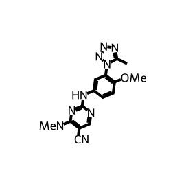 CNc1nc(Nc2ccc(OC)c(-n3nnnc3C)c2)ncc1C#N